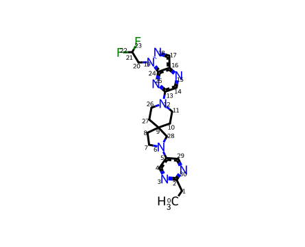 CCc1ncc(N2CCC3(CCN(c4cnc5cnn(CC(F)F)c5n4)CC3)C2)cn1